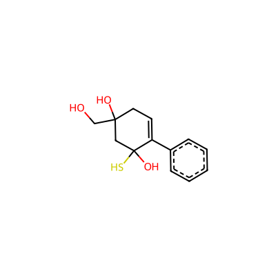 OCC1(O)CC=C(c2ccccc2)C(O)(S)C1